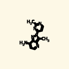 Cc1nccc(-n2nc3c(N)ccnc3c2C)n1